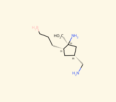 BCCC[C@H]1C[C@@H](CN)C[C@@]1(N)C(=O)O